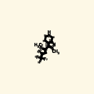 Cn1nc(C(F)(F)F)cc1-c1c2c(nn1C)CNCC2